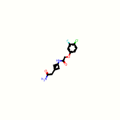 NC(=O)CC12CC(NC(=O)COc3ccc(Cl)c(F)c3)(C1)C2